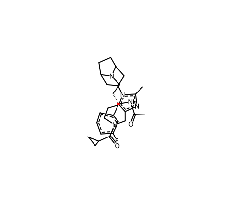 CC(=O)N[C@@H](CCN1C2CCC1CC(n1c(C)nc3c1CCN(C(=O)C1CC1)C3)C2)c1cccc(F)c1